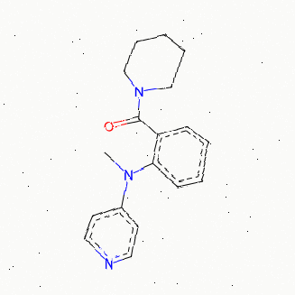 CN(c1ccncc1)c1ccccc1C(=O)N1CCCCC1